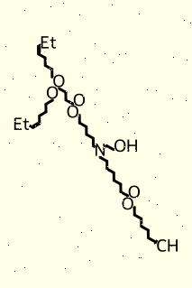 C#CCCCCCCOC(=O)CCCCCCCN(CCO)CCCCCCOC(=O)CCC(OCCCC/C=C\CC)OCCCC/C=C\CC